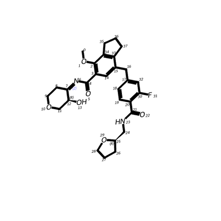 COc1c(C(=O)/N=C2/CCOC[C@@H]2O)cc(Cc2ccc(C(=O)NC[C@H]3CCCO3)c(F)c2)c2c1CCC2